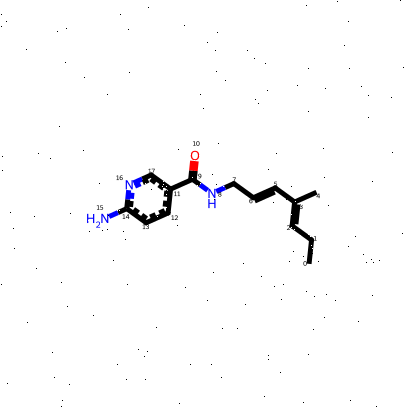 CCC=C(C)C=CCNC(=O)c1ccc(N)nc1